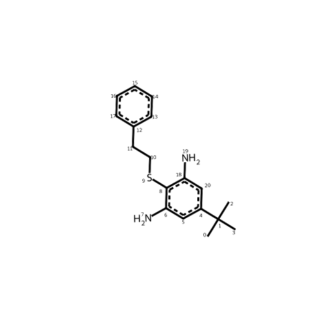 CC(C)(C)c1cc(N)c(SCCc2ccccc2)c(N)c1